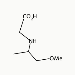 COCC(C)NCC(=O)O